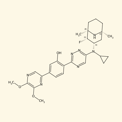 COc1ncc(-c2ccc(-c3ncc(N(C4CC4)[C@H]4C[C@]5(C)CCC[C@@](C)(N5)[C@H]4F)nn3)c(O)c2)nc1OC